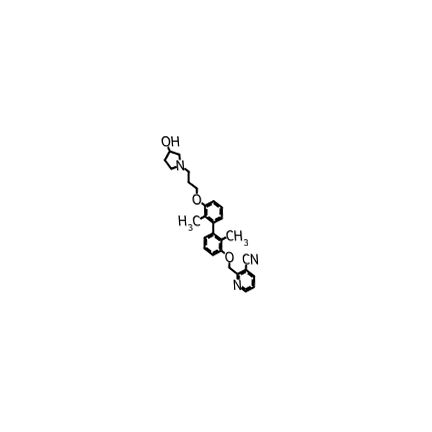 Cc1c(OCCCN2CCC(O)C2)cccc1-c1cccc(OCc2ncccc2C#N)c1C